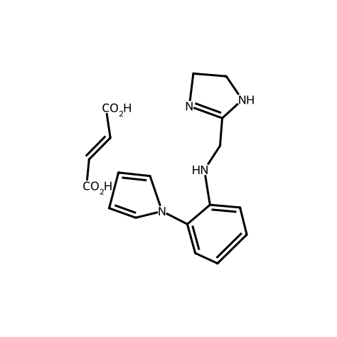 O=C(O)C=CC(=O)O.c1ccc(-n2cccc2)c(NCC2=NCCN2)c1